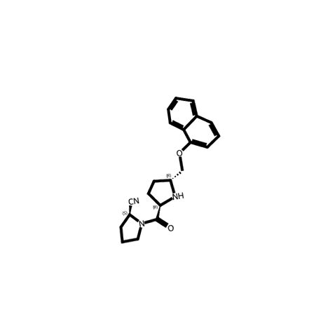 N#C[C@@H]1CCCN1C(=O)[C@H]1CC[C@H](COc2cccc3ccccc23)N1